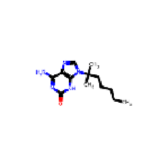 CCCCCC(C)(C)n1cnc2c(N)nc(=O)[nH]c21